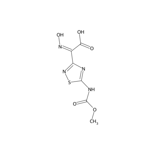 COC(=O)Nc1nc(C(=NO)C(=O)O)ns1